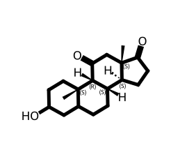 C[C@]12CCC(O)CC1CC[C@@H]1[C@H]2C(=O)C[C@]2(C)C(=O)CC[C@@H]12